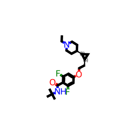 CCN1CCC([C@H]2C[C@H]2CCOc2cc(F)c(C(=O)NC(C)(C)C)c(F)c2)CC1